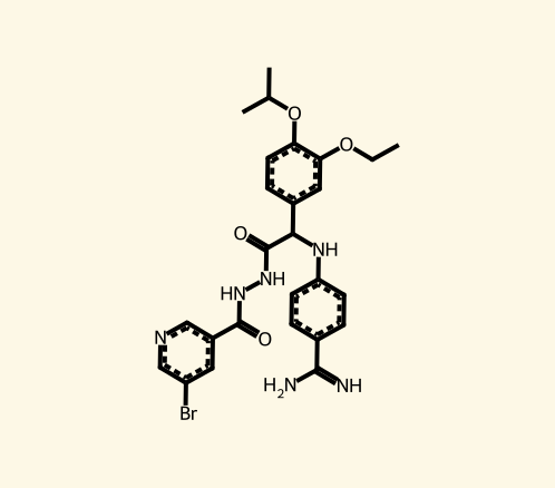 CCOc1cc(C(Nc2ccc(C(=N)N)cc2)C(=O)NNC(=O)c2cncc(Br)c2)ccc1OC(C)C